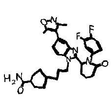 Cc1noc(C)c1-c1ccc2c(c1)nc(C1CCCC(=O)N1c1ccc(F)c(F)c1)n2CCCC1CCC(C(N)=O)CC1